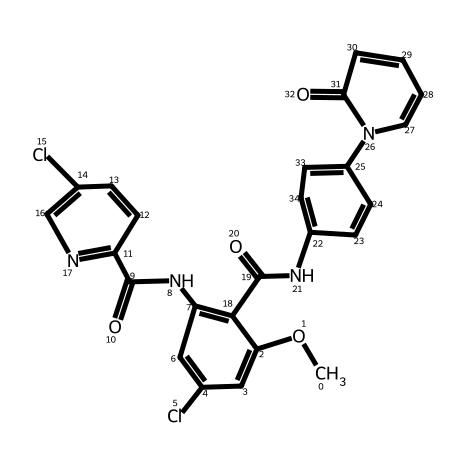 COc1cc(Cl)cc(NC(=O)c2ccc(Cl)cn2)c1C(=O)Nc1ccc(-n2ccccc2=O)cc1